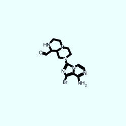 Nc1nccn2c(N3CCN4CCNC(C=O)C4C3)nc(Br)c12